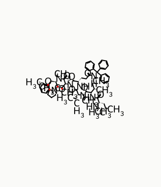 CC[C@H](C)[C@H](NC(=O)[C@H](CC(C)C)NC)C(=O)N(C)[C@@H](C(=O)N[C@@H](CCC(=O)NC(c1ccccc1)(c1ccccc1)c1ccccc1)C(=O)N[C@H](C(=O)N(C)[C@H](Cc1ccccc1)C(=O)N1CCC[C@H]1C(=O)OC)C(C)C)C(C)C